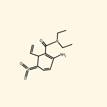 C=CC1C(C(=O)N(CC)CC)=C(N)C=CC1=S(=O)=O